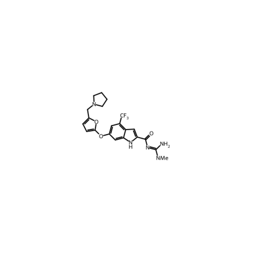 CNC(N)=NC(=O)c1cc2c(C(F)(F)F)cc(Oc3ccc(CN4CCCC4)o3)cc2[nH]1